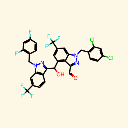 O=Cc1nn(Cc2ccc(Cl)cc2Cl)c2cc(C(F)(F)F)cc(C(O)c3nn(Cc4ccc(F)cc4F)c4cc(C(F)(F)F)ccc34)c12